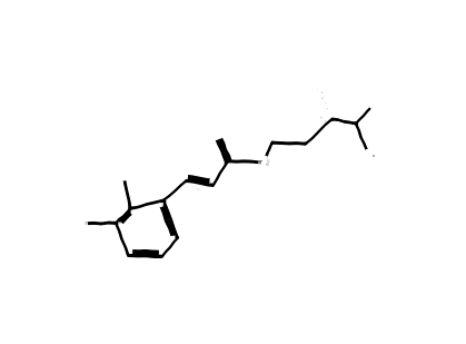 N[C@@H](CCNC(=O)/C=C/c1cccc(Cl)c1F)C(O)O